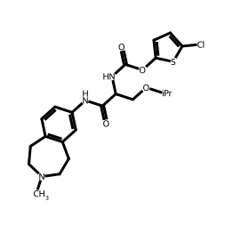 CC(C)OCC(NC(=O)Oc1ccc(Cl)s1)C(=O)Nc1ccc2c(c1)CCN(C)CC2